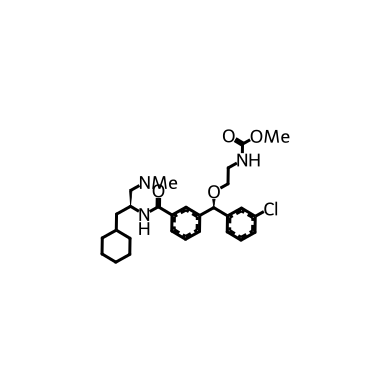 CNC[C@H](CC1CCCCC1)NC(=O)c1cccc([C@@H](OCCNC(=O)OC)c2cccc(Cl)c2)c1